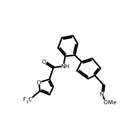 CO/N=C/c1ccc(-c2ccccc2NC(=O)c2ccc(C(F)(F)F)o2)cc1